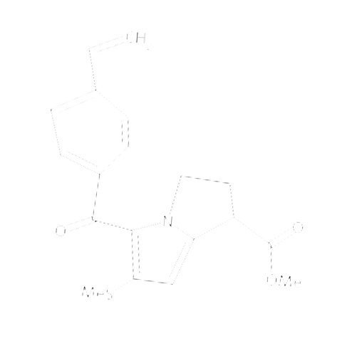 C=Cc1ccc(C(=O)c2c(SC)cc3n2CCC3C(=O)OC)cc1